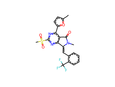 Cc1ccc(-c2nc(S(C)(=O)=O)nc3c2C(=O)N(C)/C3=C\c2ccccc2C(F)(F)F)o1